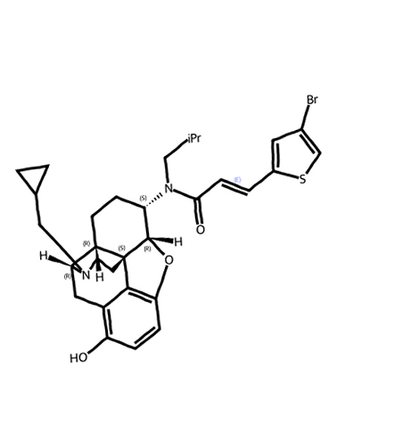 CC(C)CN(C(=O)/C=C/c1cc(Br)cs1)[C@H]1CC[C@H]2[C@H]3Cc4c(O)ccc5c4[C@@]2(CCN3CC2CC2)[C@H]1O5